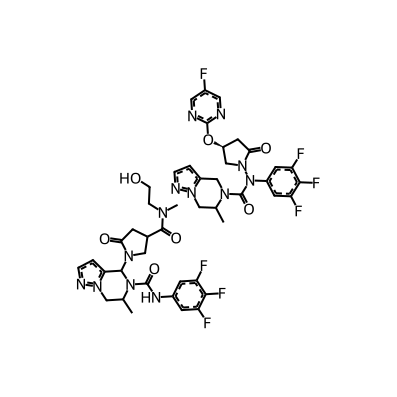 CC1Cn2nccc2C(N2CC(C(=O)N(C)CCO)CC2=O)N1C(=O)Nc1cc(F)c(F)c(F)c1.CC1Cn2nccc2CN1C(=O)N(c1cc(F)c(F)c(F)c1)N1C[C@@H](Oc2ncc(F)cn2)CC1=O